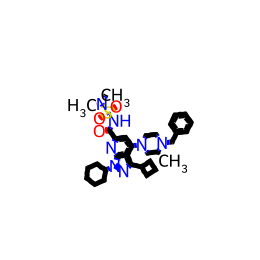 C[C@H]1CN(c2cc(C(=O)NS(=O)(=O)N(C)C)nc3c2c(C2CCC2)nn3C2CCCCC2)CCN1Cc1ccccc1